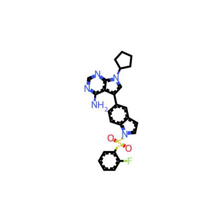 Nc1ncnc2c1c(-c1ccc3c(ccn3S(=O)(=O)c3ccccc3F)c1)cn2C1CCCC1